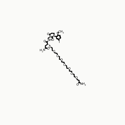 COc1ccc(I)cc1N1CCC(=O)N(CNC(=O)[C@H](COCCOCCOCCOCCOCCOCCOCCOCCC(N)=O)CC(N)=O)C1=O